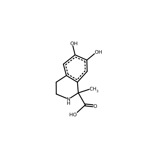 CC1(C(=O)O)NCCc2cc(O)c(O)cc21